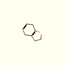 [CH]1CC2=C(CC=CC2)O1